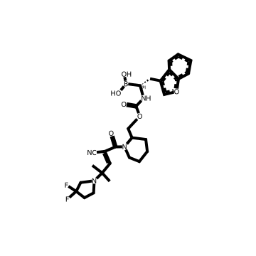 CC(C)(C=C(C#N)C(=O)N1CCCCC1COC(=O)N[C@@H](Cc1coc2ccccc12)B(O)O)N1CCC(F)(F)C1